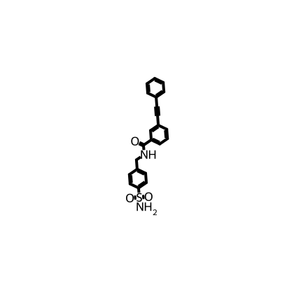 NS(=O)(=O)c1ccc(CNC(=O)c2cccc(C#Cc3ccccc3)c2)cc1